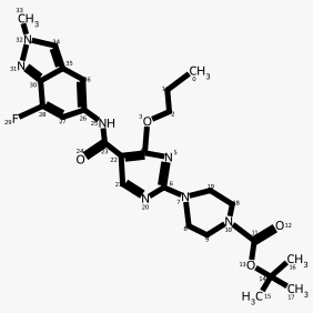 CCCOc1nc(N2CCN(C(=O)OC(C)(C)C)CC2)ncc1C(=O)Nc1cc(F)c2nn(C)cc2c1